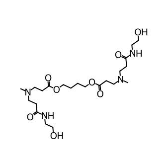 CN(CCC(=O)NCCO)CCC(=O)OCCCCOC(=O)CCN(C)CCC(=O)NCCO